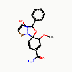 COC1C=C(C(N)=O)C=CC1(OC(CO)c1ccccc1)N1NC=CS1